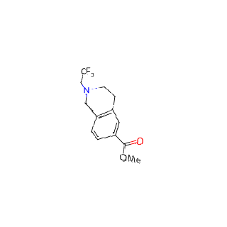 COC(=O)c1ccc2c(c1)CCN(CC(F)(F)F)C2